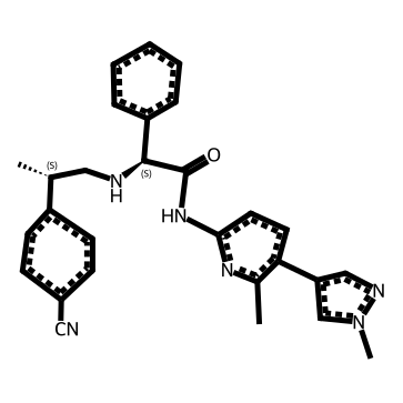 Cc1nc(NC(=O)[C@@H](NC[C@@H](C)c2ccc(C#N)cc2)c2ccccc2)ccc1-c1cnn(C)c1